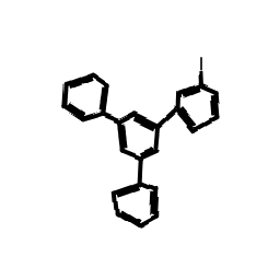 Ic1cccc(-c2cc(-c3ccccc3)cc(-c3ccccc3)c2)c1